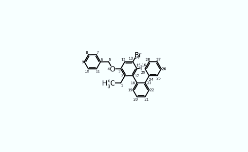 CCc1c(OCc2ccccc2)cc(Br)c(I)c1-c1ccccc1-c1ccccc1